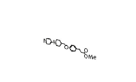 COC(=O)CCc1ccc(OCC2CCN(c3ccncc3)CC2)cc1